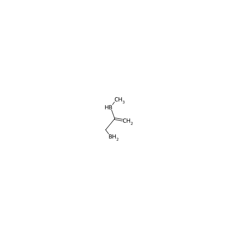 BCC(=C)BC